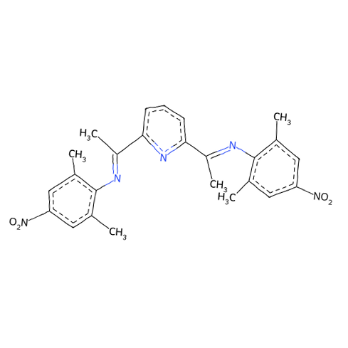 CC(=Nc1c(C)cc([N+](=O)[O-])cc1C)c1cccc(C(C)=Nc2c(C)cc([N+](=O)[O-])cc2C)n1